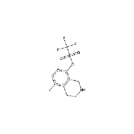 Cc1ccc(OS(=O)(=O)C(F)(F)F)c2c1CCNC2